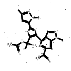 CCn1nc(C)cc1-c1nc(-c2nc(C(N)=O)cc3c2cnn3C)c(C(C)(N)OC(=O)C(F)(F)F)s1